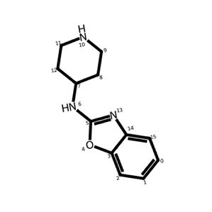 c1ccc2oc(NC3CCNCC3)nc2c1